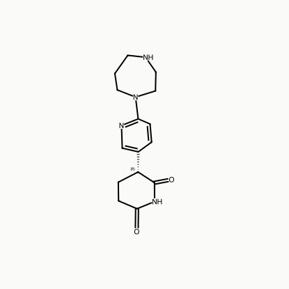 O=C1CC[C@H](c2ccc(N3CCCNCC3)nc2)C(=O)N1